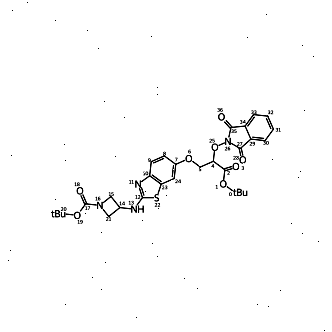 CC(C)(C)OC(=O)C(COc1ccc2nc(NC3CN(C(=O)OC(C)(C)C)C3)sc2c1)ON1C(=O)c2ccccc2C1=O